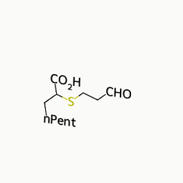 CCCCCCC(SCCC=O)C(=O)O